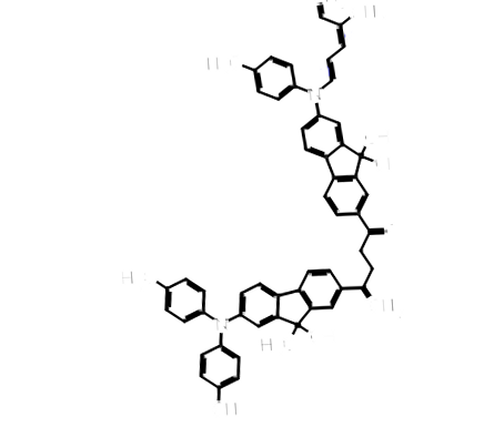 C=C/C(C)=C\C=C\N(c1ccc(C)cc1)c1ccc2c(c1)C(C)(C)c1cc(C(=C)CCC(=C)c3ccc4c(c3)C(C)(C)c3cc(N(c5ccc(C)cc5)c5ccc(C)cc5)ccc3-4)ccc1-2